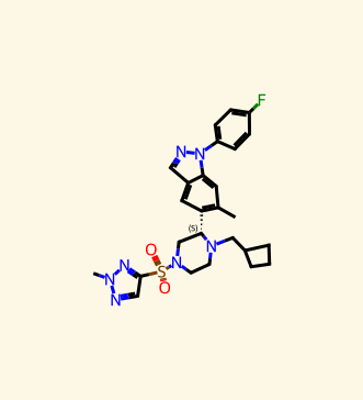 Cc1cc2c(cnn2-c2ccc(F)cc2)cc1[C@H]1CN(S(=O)(=O)c2cnn(C)n2)CCN1CC1CCC1